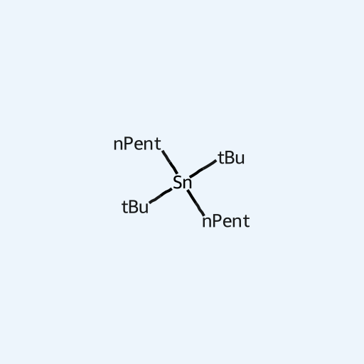 CCCC[CH2][Sn]([CH2]CCCC)([C](C)(C)C)[C](C)(C)C